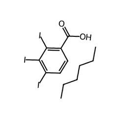 CCCCCC.O=C(O)c1ccc(I)c(I)c1I